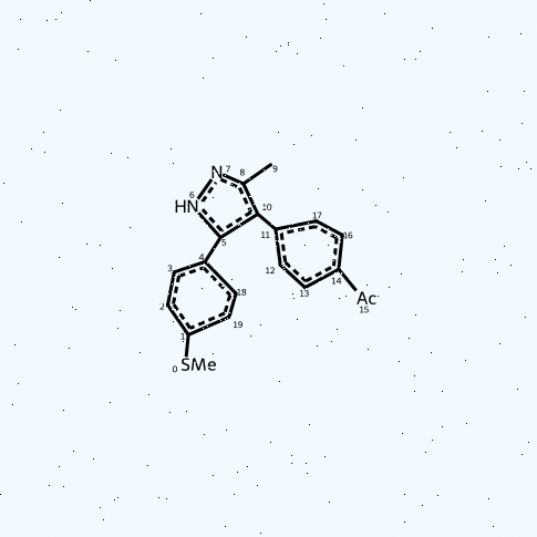 CSc1ccc(-c2[nH]nc(C)c2-c2ccc(C(C)=O)cc2)cc1